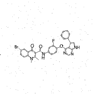 Cc1c(C(=O)Nc2ccc(Oc3ncnc4[nH]cc(-c5ccccc5)c34)c(F)c2)c(=O)c2cc(Br)ccc2n1C